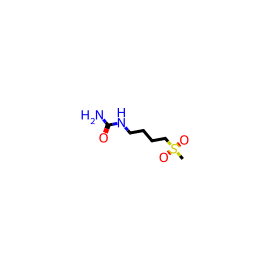 CS(=O)(=O)CCCCNC(N)=O